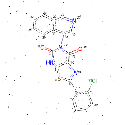 O=c1[nH]c2sc(-c3ccccc3Cl)nc2c(=O)n1-c1cncc2ccccc12